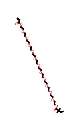 C=CC(=O)OCCOCCOCCOCCOCCOCCOCCOCCOCCOCCOCCOCCOC(=O)C(C)(C)CC